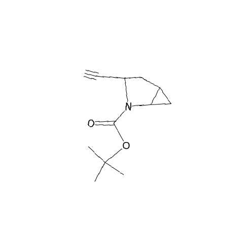 C#CC1CC2CC2N1C(=O)OC(C)(C)C